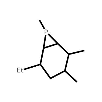 CCC1CC(C)C(C)C2C1P2C